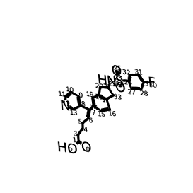 O=C(O)CCC/C=C(\c1cccnc1)c1ccc2c(c1)CC(NS(=O)(=O)c1ccc(F)cc1)C2